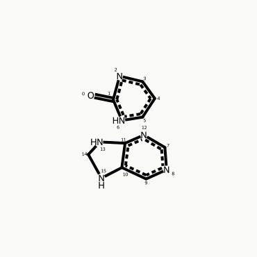 O=c1nccc[nH]1.c1ncc2c(n1)NCN2